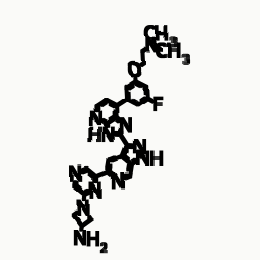 CN(C)CCOc1cc(F)cc(-c2ccnc3[nH]c(-c4n[nH]c5cnc(-c6cncc(N7CC(N)C7)n6)cc45)nc23)c1